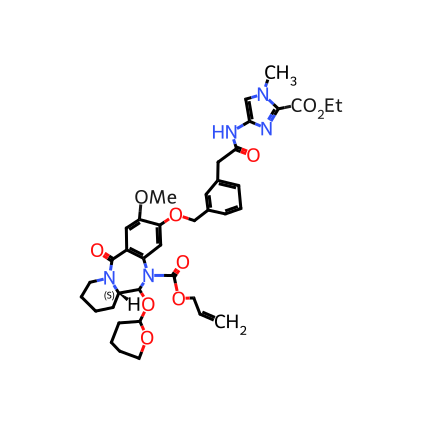 C=CCOC(=O)N1c2cc(OCc3cccc(CC(=O)Nc4cn(C)c(C(=O)OCC)n4)c3)c(OC)cc2C(=O)N2CCCC[C@H]2C1OC1CCCCO1